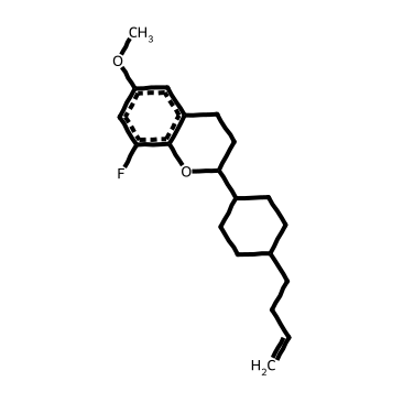 C=CCCC1CCC(C2CCc3cc(OC)cc(F)c3O2)CC1